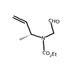 C=C[C@@H](C)N(CC=O)C(=O)OCC